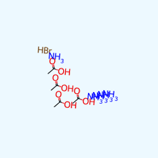 Br.CC(=O)O.CC(=O)O.CC(=O)O.CC(=O)O.N.N.N.N.N